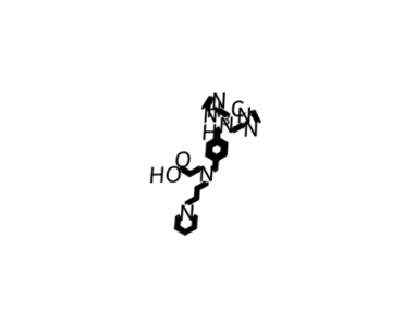 CN1CCN=C1CN(Cc1ccc(CN(CCCCN2CCCCC2)CCC(=O)O)cc1)Cc1ncc[nH]1